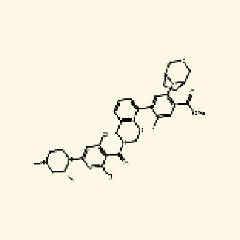 COC(=O)c1cc(F)c(-c2cccc3c2OCN(C(=O)c2c(Cl)cc(N4CCN(C)C[C@H]4C)cc2Cl)C3)cc1N1C2CCC1COC2